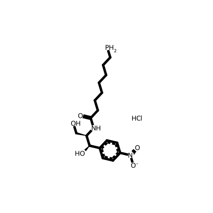 Cl.O=C(CCCCCCCP)N[C@H](CO)[C@H](O)c1ccc([N+](=O)[O-])cc1